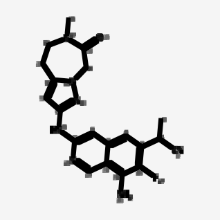 CC(C#N)c1cc2cc(Nc3cc4n(n3)CC(=O)N(C)CC4)ncc2c(N)c1F